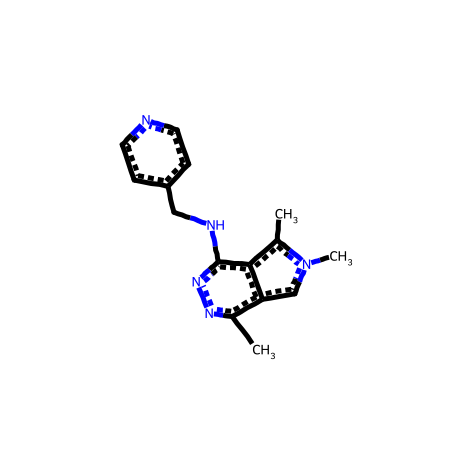 Cc1nnc(NCc2ccncc2)c2c(C)n(C)cc12